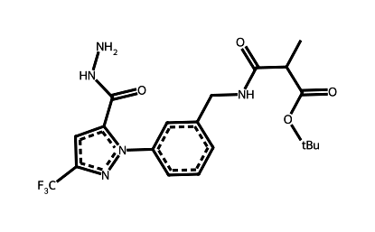 CC(C(=O)NCc1cccc(-n2nc(C(F)(F)F)cc2C(=O)NN)c1)C(=O)OC(C)(C)C